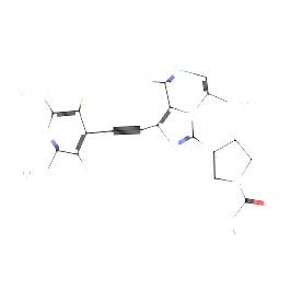 COc1nc(OC)c(F)c(C#Cc2nc([C@H]3CCN(C(=O)OC(C)(C)C)C3)n3c(OC)cnc(N)c23)c1F